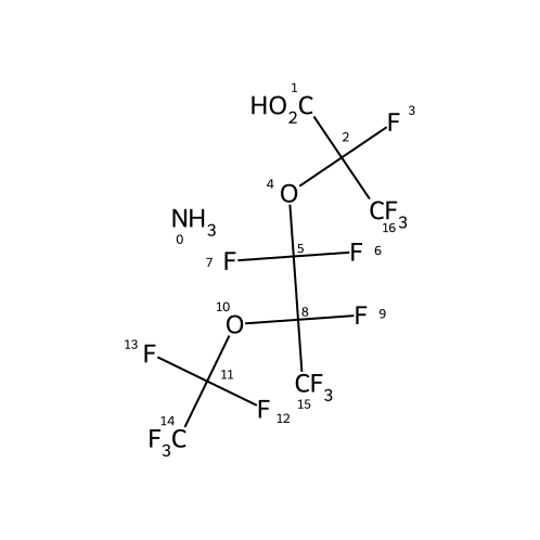 N.O=C(O)C(F)(OC(F)(F)C(F)(OC(F)(F)C(F)(F)F)C(F)(F)F)C(F)(F)F